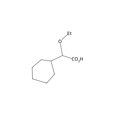 CCOC(C(=O)O)C1CCCCC1